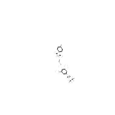 Cc1ccc(S(=O)(=O)OCCCOc2c(Cl)cc(B3OC(C)(C)C(C)(C)O3)cc2Cl)cc1